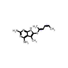 C/C=C\C=C(/C)Sc1[nH]c2nc(N)nc(N)c2c1C